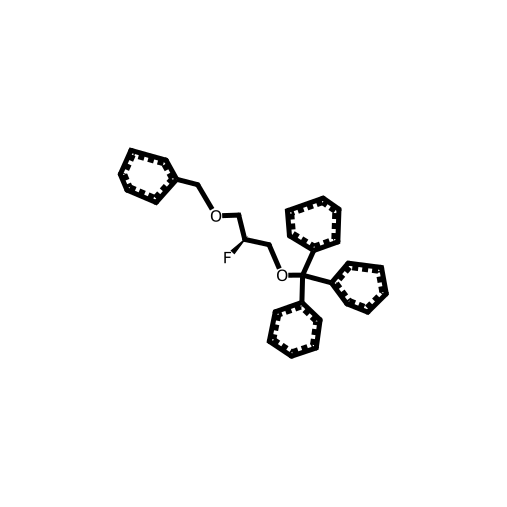 F[C@@H](COCc1ccccc1)COC(c1ccccc1)(c1ccccc1)c1ccccc1